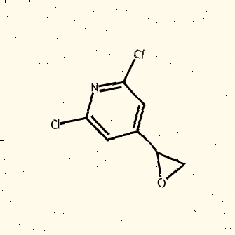 Clc1cc(C2CO2)cc(Cl)n1